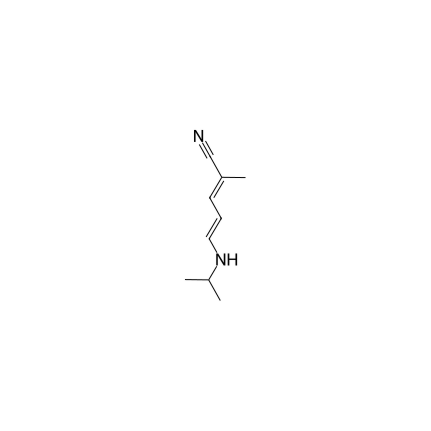 C/C(C#N)=C\C=C\NC(C)C